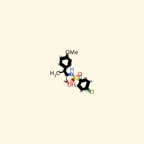 COc1ccc([C@H](C)[C@@H](CO)NS(=O)(=O)c2ccc(Cl)cc2)cc1